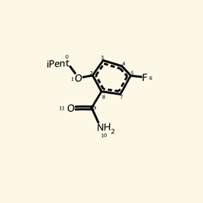 CCCC(C)Oc1ccc(F)cc1C(N)=O